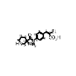 CCC(=Cc1ccc(NC(=O)C2(N)CCCNC2)cc1)C(=O)O